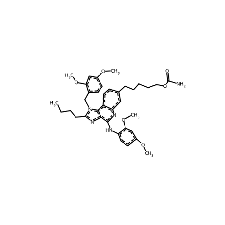 CCCCc1nc2c(Nc3ccc(OC)cc3OC)nc3cc(CCCCCOC(N)=O)ccc3c2n1Cc1ccc(OC)cc1OC